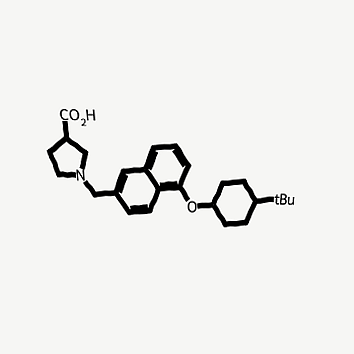 CC(C)(C)C1CCC(Oc2cccc3cc(CN4CCC(C(=O)O)C4)ccc23)CC1